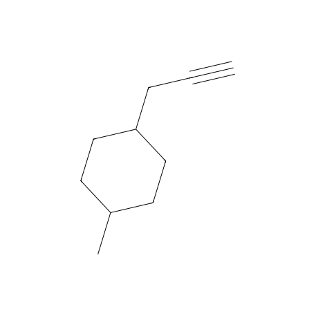 C#CCC1CCC(C)CC1